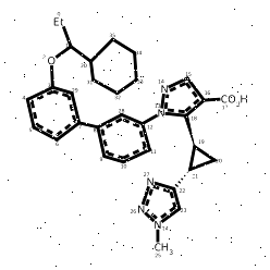 CCC(Oc1cccc(-c2cccc(-n3ncc(C(=O)O)c3[C@H]3C[C@@H]3c3cn(C)nn3)c2)c1)C1CCCCC1